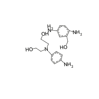 Nc1ccc(N(CCO)CCO)cc1.Nc1ccc(N)c(CO)c1